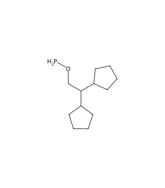 POCC(C1CCCC1)C1CCCC1